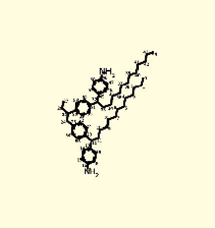 CCCCCCCCCCCCC(c1ccc(N)cc1)c1ccc(CC(CC)c2ccc(C(CCCCCCCCCCCC)c3ccc(N)cc3)cc2)cc1